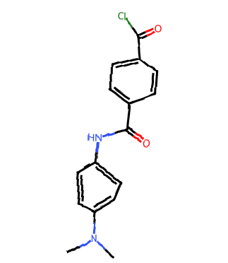 CN(C)c1ccc(NC(=O)c2ccc(C(=O)Cl)cc2)cc1